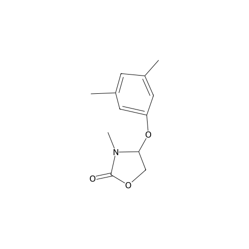 Cc1cc(C)cc(OC2COC(=O)N2C)c1